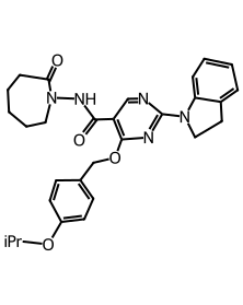 CC(C)Oc1ccc(COc2nc(N3CCc4ccccc43)ncc2C(=O)NN2CCCCCC2=O)cc1